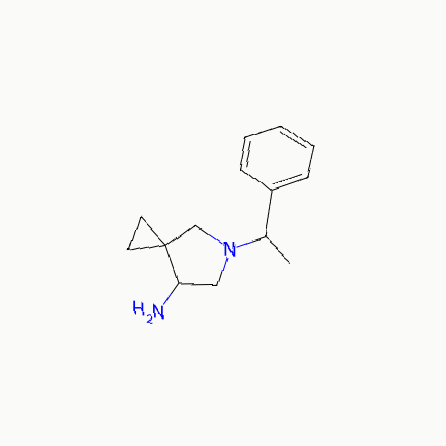 CC(c1ccccc1)N1CC(N)C2(CC2)C1